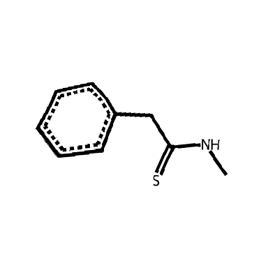 CNC(=S)Cc1ccccc1